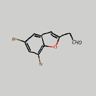 O=CCc1cc2cc(Br)cc(Br)c2o1